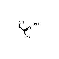 O=C(O)CO.[CaH2]